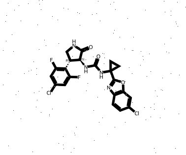 O=C(N[C@@H]1C(=O)NC[C@H]1c1c(F)cc(Cl)cc1F)NC1(c2nc3ccc(Cl)cc3o2)CC1